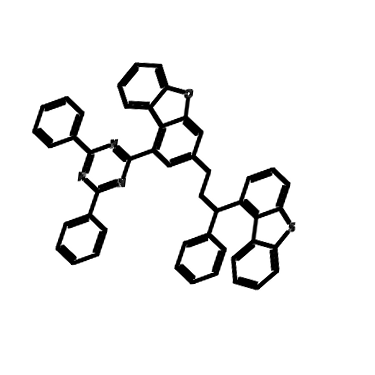 c1ccc(-c2nc(-c3ccccc3)nc(-c3cc(CCC(c4ccccc4)c4cccc5sc6ccccc6c45)cc4oc5ccccc5c34)n2)cc1